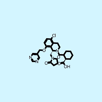 O=C(O)[C@@H]1CCCCC1C(=O)N1CCc2c(Cl)ccc(OCc3cncnc3)c2[C@H]1CN1CCCC1=O